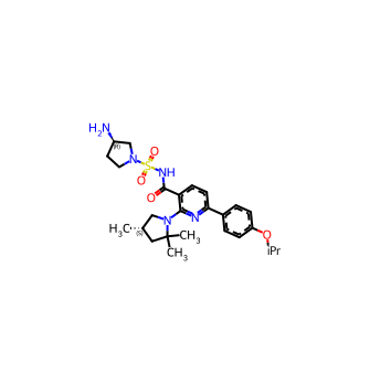 CC(C)Oc1ccc(-c2ccc(C(=O)NS(=O)(=O)N3CC[C@@H](N)C3)c(N3C[C@@H](C)CC3(C)C)n2)cc1